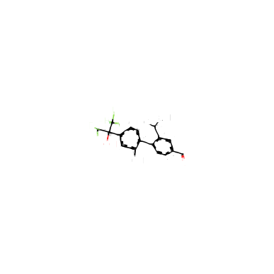 Cc1cc(C(O)(C(F)(F)F)C(F)(F)F)ccc1-c1ccc(C=O)cc1C(C)C